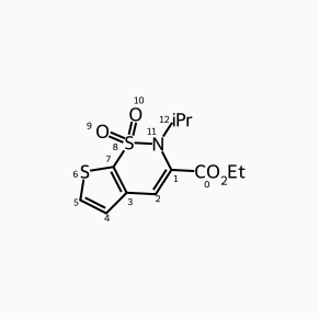 CCOC(=O)C1=Cc2ccsc2S(=O)(=O)N1C(C)C